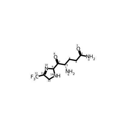 NC(=O)CC[C@H](N)C(=O)C1N=C(C(F)(F)F)CN1